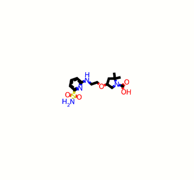 CC1(C)CC(OCCNc2cccc(S(N)(=O)=O)n2)CN1C(=O)O